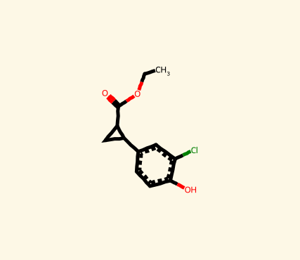 CCOC(=O)C1CC1c1ccc(O)c(Cl)c1